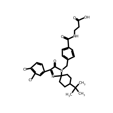 CC(C)(C)C1CCC2(CC1)N=C(c1ccc(Cl)c(Cl)c1)C(=O)N2Cc1ccc(C(=O)NCCC(=O)O)cc1